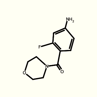 Nc1ccc(C(=O)N2CCOCC2)c(F)c1